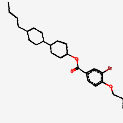 CCCCCOc1ccc(C(=O)OC2CCC(C3CCC(CCCC)CC3)CC2)cc1Br